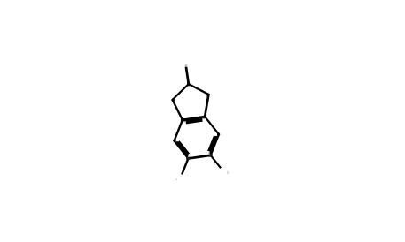 CC1Cc2cc(O)c(O)cc2C1